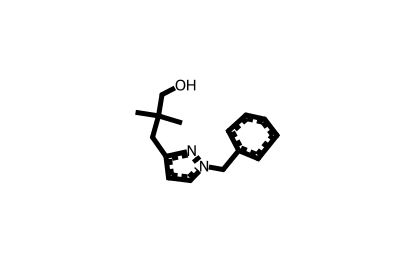 CC(C)(CO)Cc1ccn(Cc2ccccc2)n1